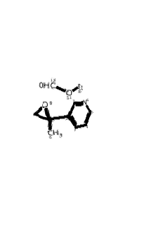 CC1(c2cccnc2)CO1.CCOC=O